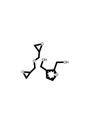 C(OCC1CO1)C1CO1.OCc1ccoc1CO